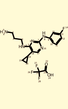 NCCCNc1nc(Nc2cccc(F)c2)ncc1C1CC1.O=C(O)C(F)(F)F